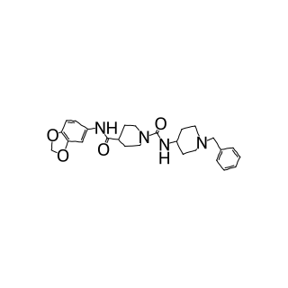 O=C(Nc1ccc2c(c1)OCO2)C1CCN(C(=O)NC2CCN(Cc3ccccc3)CC2)CC1